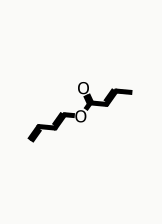 C=CC=COC(=O)C=CC